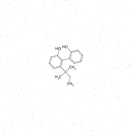 CCC(C)(C)c1cccc(O)c1-c1ccccc1O